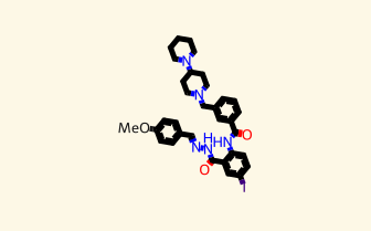 COc1ccc(/C=N/NC(=O)c2cc(I)ccc2NC(=O)c2cccc(CN3CCC(N4CCCCC4)CC3)c2)cc1